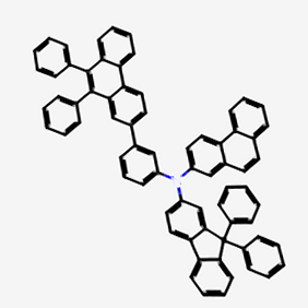 c1ccc(-c2c(-c3ccccc3)c3cc(-c4cccc(N(c5ccc6c(c5)C(c5ccccc5)(c5ccccc5)c5ccccc5-6)c5ccc6c(ccc7ccccc76)c5)c4)ccc3c3ccccc23)cc1